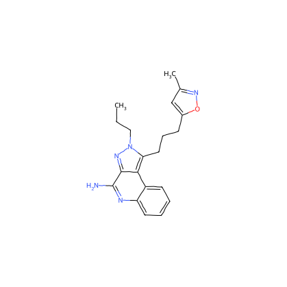 CCCn1nc2c(N)nc3ccccc3c2c1CCCc1cc(C)no1